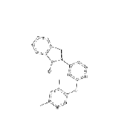 Cc1cc(C)c(Oc2nccc(N3Cc4ccccc4[S+]3[O-])n2)cn1